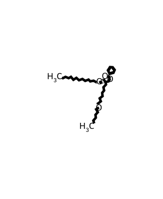 CCCCCCCCCCCCCCOC[C@]1(CCCCCCCCOCCCCCCC)CO[C@H](c2ccccc2)OC1